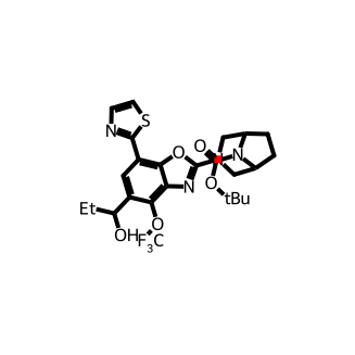 CCC(O)c1cc(-c2nccs2)c2oc(N3CC4CCC(C3)N4C(=O)OC(C)(C)C)nc2c1OC(F)(F)F